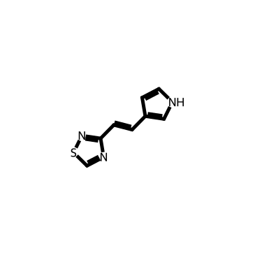 C(=Cc1ncsn1)c1cc[nH]c1